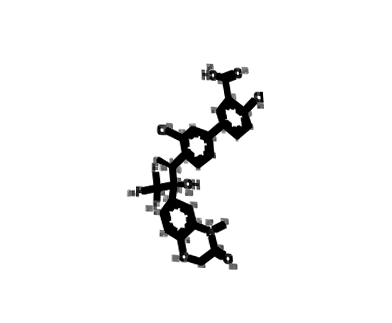 C[C@@H](c1ccc(-c2ccc(Cl)c(C(=O)O)c2)cc1Cl)[C@](O)(c1ccc2c(c1)N(C)C(=O)CO2)C(F)(F)F